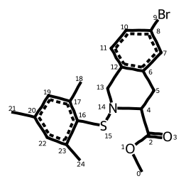 COC(=O)C1Cc2cc(Br)ccc2CN1Sc1c(C)cc(C)cc1C